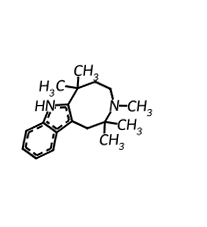 CN1CCC(C)(C)c2[nH]c3ccccc3c2CC1(C)C